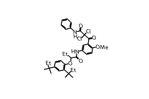 CCC(Oc1ccc(C(C)(C)CC)cc1C(C)(C)CC)C(=O)Nc1ccc(OC)c(C(=O)C(Cl)(Cl)C(=O)Nc2ccccc2)c1